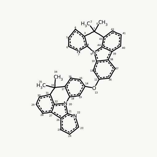 CC1(C)c2cccnc2-n2c3cc(Oc4ccc5c(c4)-n4c6ncccc6c6cccc(c64)C5(C)C)ccc3c3cccc1c32